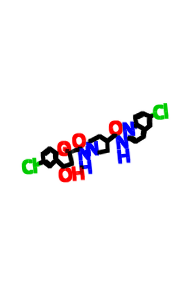 O=C(Nc1ccc2cc(Cl)ccc2n1)C1CCN(NC(=O)[C@H]2C[C@@H](O)c3cc(Cl)ccc3O2)CC1